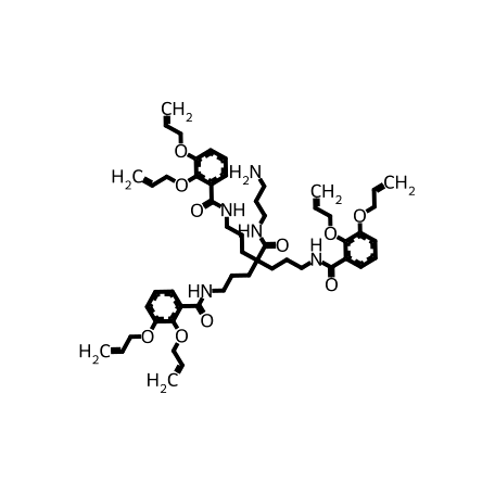 C=CCOc1cccc(C(=O)NCCCC(CCCNC(=O)c2cccc(OCC=C)c2OCC=C)(CCCNC(=O)c2cccc(OCC=C)c2OCC=C)C(=O)NCCCN)c1OCC=C